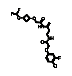 C=C(CCNC(=O)COc1ccc(Cl)c(F)c1)NC(=O)CO[C@H]1C[C@@H](OC(F)F)C1